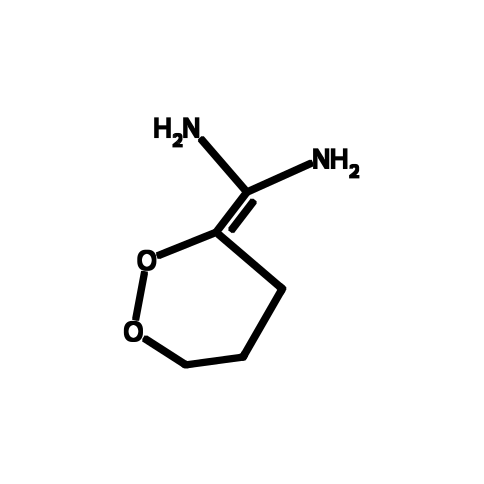 NC(N)=C1CCCOO1